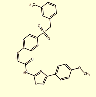 COc1ccc(-c2csc(NC(=O)/C=C\c3ccc(S(=O)(=O)Cc4cccc(C)c4)cc3)n2)cc1